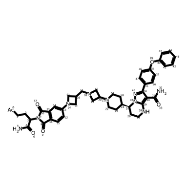 CC(=O)CCC(C(N)=O)N1C(=O)c2ccc(N3CC(CN4CC(N5CCC([C@@H]6CCNc7c(C(N)=O)c(-c8ccc(Oc9ccccc9)cc8)nn76)CC5)C4)C3)cc2C1=O